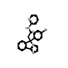 O=C(CC1(c2ccc(Br)cc2)c2ccccc2-c2nccn21)Nc1ccccn1